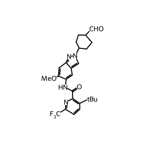 COc1cc2nn(C3CCC(C=O)CC3)cc2cc1NC(=O)c1nc(C(F)(F)F)ccc1C(C)(C)C